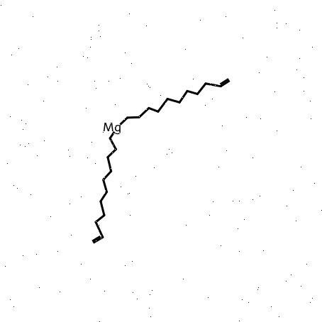 C=CCCCCCCCC[CH2][Mg][CH2]CCCCCCCCC=C